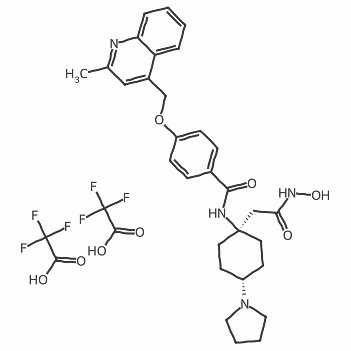 Cc1cc(COc2ccc(C(=O)N[C@]3(CC(=O)NO)CC[C@@H](N4CCCC4)CC3)cc2)c2ccccc2n1.O=C(O)C(F)(F)F.O=C(O)C(F)(F)F